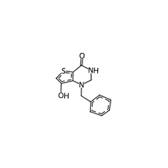 O=C1NCN(Cc2ccccc2)c2c(O)csc21